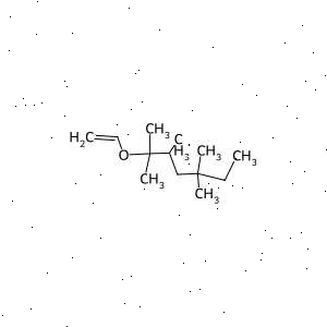 C=COC(C)(C)C(C)CC(C)(C)CC